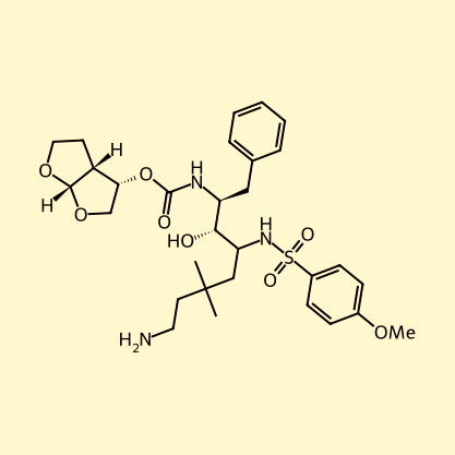 COc1ccc(S(=O)(=O)NC(CC(C)(C)CCN)[C@H](O)[C@H](Cc2ccccc2)NC(=O)O[C@@H]2CO[C@@H]3OCC[C@@H]32)cc1